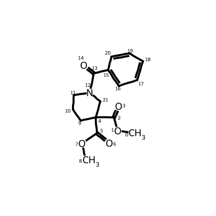 COC(=O)C1(C(=O)OC)CCCN(C(=O)c2ccccc2)C1